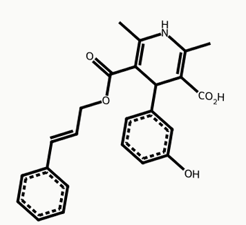 CC1=C(C(=O)O)C(c2cccc(O)c2)C(C(=O)OCC=Cc2ccccc2)=C(C)N1